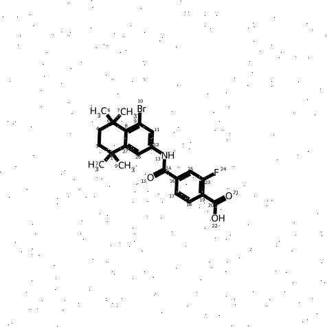 CC1(C)CCC(C)(C)c2c(Br)cc(NC(=O)c3ccc(C(=O)O)c(F)c3)cc21